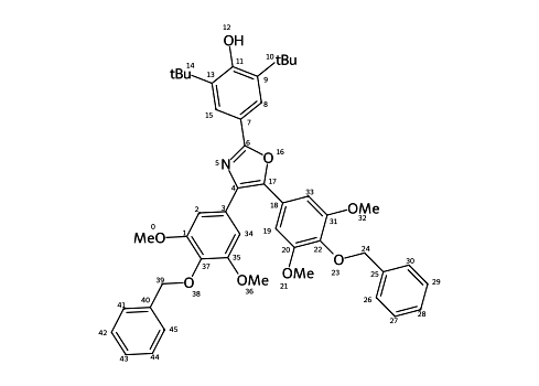 COc1cc(-c2nc(-c3cc(C(C)(C)C)c(O)c(C(C)(C)C)c3)oc2-c2cc(OC)c(OCc3ccccc3)c(OC)c2)cc(OC)c1OCc1ccccc1